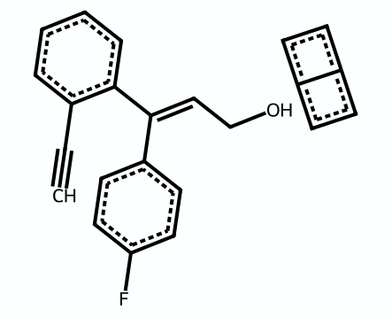 C#Cc1ccccc1C(=CCO)c1ccc(F)cc1.c1cc2ccc1-2